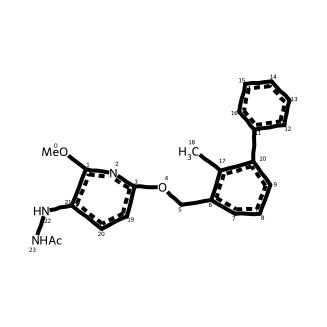 COc1nc(OCc2cccc(-c3ccccc3)c2C)ccc1NNC(C)=O